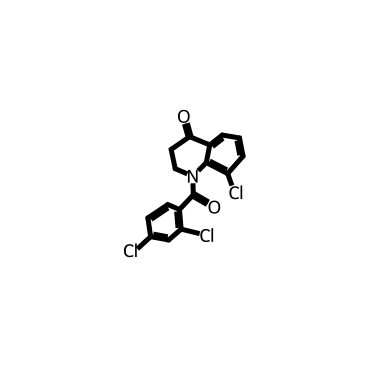 O=C1CCN(C(=O)c2ccc(Cl)cc2Cl)c2c(Cl)cccc21